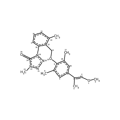 CON=C(C)c1cc(C)c(OCc2c(C)cccc2-n2nnn(C)c2=O)c(C)c1